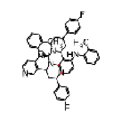 Cc1ccccc1Nc1ccncc1C1CC(c2ccc(F)cc2)CCN1C(=O)N1CCC(c2ccc(F)cc2)CC1c1cnccc1Nc1ccccc1C